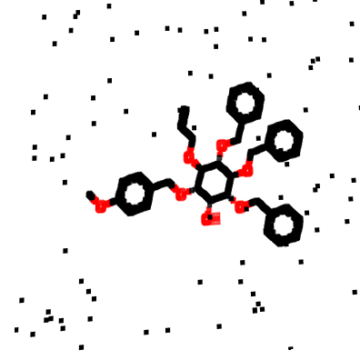 C=CCO[C@H]1[C@H](OCc2ccccc2)[C@@H](OCc2ccccc2)[C@H](OCc2ccccc2)[C@H](O)[C@@H]1OCc1ccc(OC)cc1